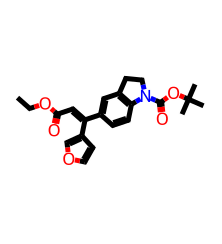 CCOC(=O)C=C(c1ccoc1)c1ccc2c(c1)CCN2C(=O)OC(C)(C)C